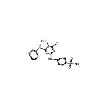 NS(=O)(=O)c1ccc(Nc2nc(Cl)c(C=O)c(Nc3ccccn3)n2)cc1